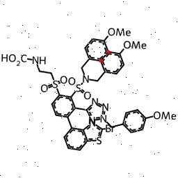 COc1ccc(CN(Cc2ccc(OC)cc2)S(=O)(=O)c2c(S(=O)(=O)CCNC(=O)O)ccc(-c3cccc4sc(Br)nc34)c2-c2nnn(Cc3ccc(OC)cc3)n2)cc1